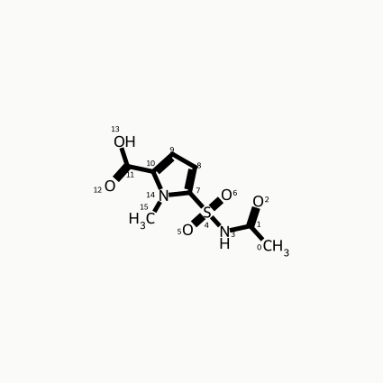 CC(=O)NS(=O)(=O)c1ccc(C(=O)O)n1C